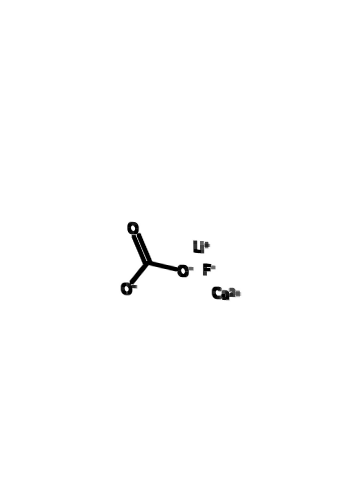 O=C([O-])[O-].[Ca+2].[F-].[Li+]